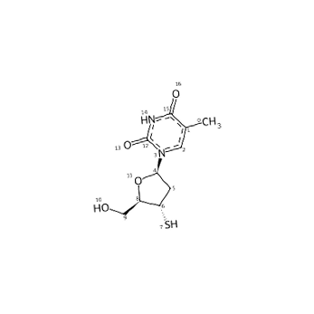 Cc1cn([C@H]2C[C@H](S)[C@@H](CO)O2)c(=O)[nH]c1=O